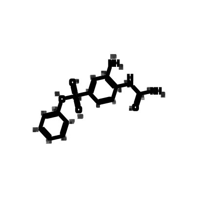 NC(=O)Nc1ccc(S(=O)(=O)Oc2ccccc2)cc1N